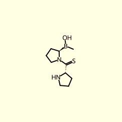 CB(O)[C@@H]1CCCN1C(=S)[C@@H]1CCCN1